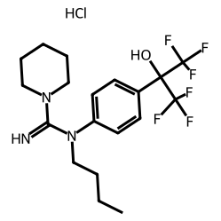 CCCCN(C(=N)N1CCCCC1)c1ccc(C(O)(C(F)(F)F)C(F)(F)F)cc1.Cl